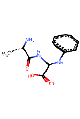 C[C@H](N)C(=O)NC(Nc1ccccc1)C(=O)O